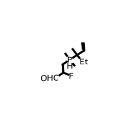 C=CC(C)(CC)[PH](C)(C)CC(F)C=O